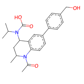 CC(=O)N1c2ccc(-c3ccc(CO)cc3)cc2C(N(C(=O)O)C(C)C)CC1C